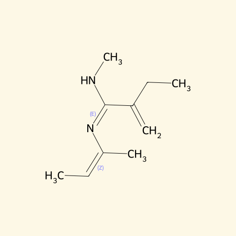 C=C(CC)/C(=N\C(C)=C/C)NC